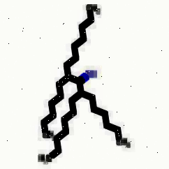 CCCCCCCC(CCCCCC)C(=N)C(CCCCCC)CCCCCCC